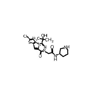 CC(C)(O)c1nn(CC(=O)N[C@@H]2CCCNC2)c(=O)c2cc3sc(Cl)cc3n12